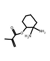 C=C(C)C(=O)OC1CC[CH]CC1(N)N